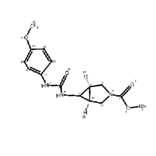 CC(C)(C)OC(=O)N1C[C@@H]2C(NC(=O)Nc3ccc(OC(F)(F)F)cc3)[C@@H]2C1